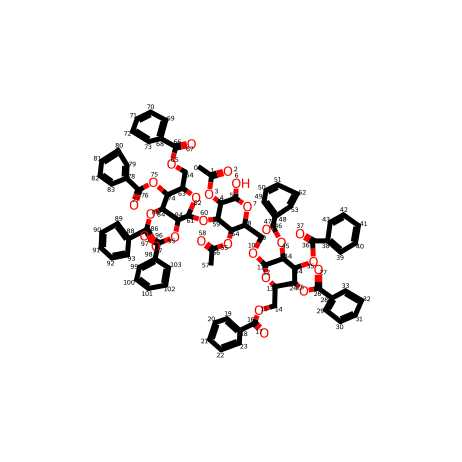 CC(=O)OC1C(O)OC(COC2OC(COC(=O)c3ccccc3)C(OC(=O)c3ccccc3)C(OC(=O)c3ccccc3)C2OC(=O)c2ccccc2)C(OC(C)=O)C1OC1OC(COC(=O)c2ccccc2)C(OC(=O)c2ccccc2)C(OC(=O)c2ccccc2)C1OC(=O)c1ccccc1